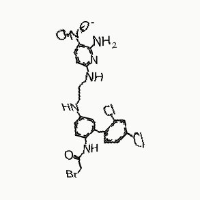 Nc1nc(NCCNc2ccc(NC(=O)CBr)c(-c3ccc(Cl)cc3Cl)c2)ccc1[N+](=O)[O-]